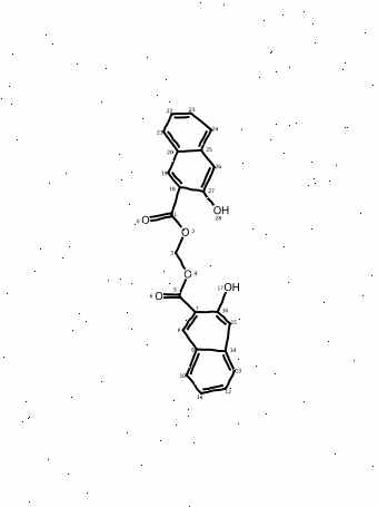 O=C(OCOC(=O)c1cc2ccccc2cc1O)c1cc2ccccc2cc1O